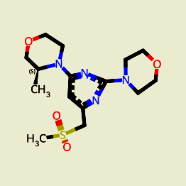 C[C@H]1COCCN1c1cc(CS(C)(=O)=O)nc(N2CCOCC2)n1